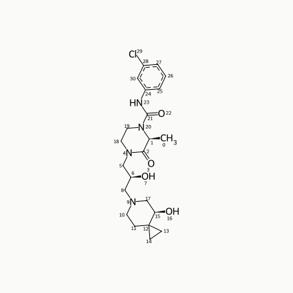 C[C@H]1C(=O)N(C[C@@H](O)CN2CCC3(CC3)[C@H](O)C2)CCN1C(=O)Nc1cccc(Cl)c1